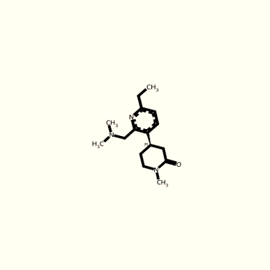 CCc1ccc([C@@H]2CCN(C)C(=O)C2)c(CN(C)C)n1